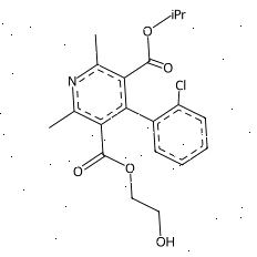 Cc1nc(C)c(C(=O)OC(C)C)c(-c2ccccc2Cl)c1C(=O)OCCO